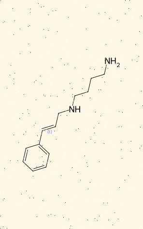 NCCCCNC/C=C/c1ccccc1